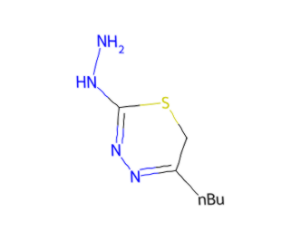 CCCCC1=NN=C(NN)SC1